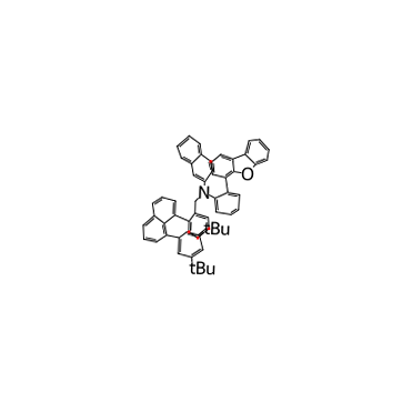 CC(C)(C)c1cc(-c2cccc3cccc(-c4ccccc4CN(c4ccc5ccccc5c4)c4ccccc4-c4cccc5c4oc4ccccc45)c23)cc(C(C)(C)C)c1